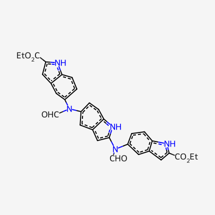 CCOC(=O)c1cc2cc(N(C=O)c3ccc4[nH]c(N(C=O)c5ccc6[nH]c(C(=O)OCC)cc6c5)cc4c3)ccc2[nH]1